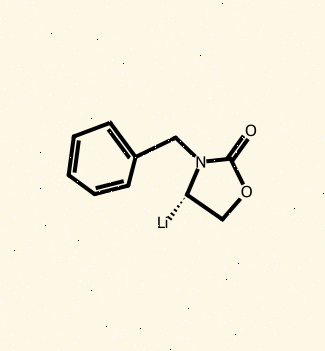 [Li][C@H]1COC(=O)N1Cc1ccccc1